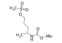 CC(CCCOS(C)(=O)=O)NC(=O)OC(C)(C)C